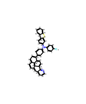 Fc1ccc(N(c2ccc(-c3ccc4ccc5cc6cccnc6c6ccc3c4c56)cc2)c2ccc3c(c2)sc2ccccc23)cc1